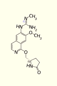 C/N=C(\N)Nc1cc2ccnc(OC[C@@H]3CCC(=O)N3)c2cc1OC